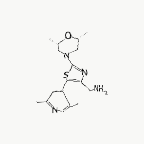 CC1=CN=C(C)CC1c1sc(N2C[C@@H](C)O[C@@H](C)C2)nc1CN